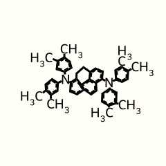 Cc1ccc(N(c2ccc(C)c(C)c2)c2ccc3ccc4c(N(c5ccc(C)c(C)c5)c5ccc(C)c(C)c5)ccc5c4c3c2CC5)cc1C